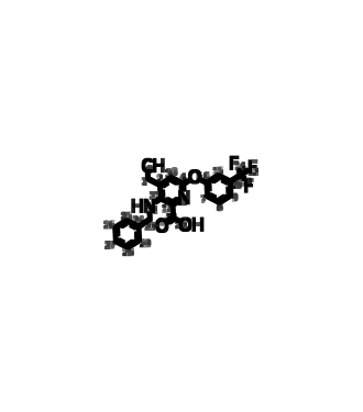 CCc1cc(Oc2cccc(C(F)(F)F)c2)nc(C(=O)O)c1NCc1ccccc1